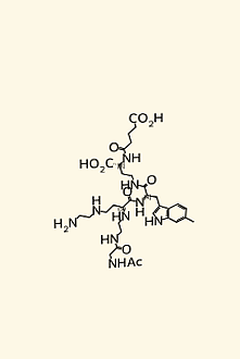 CC(=O)NCC(=O)NCCN[C@@H](CCNCCN)C(=O)N[C@H](Cc1c[nH]c2cc(C)ccc12)C(=O)NCC[C@@H](NC(=O)CCCC(=O)O)C(=O)O